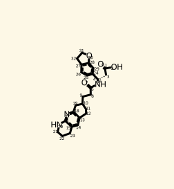 O=C(O)C[C@H](NC(=O)CCC1CCc2cc3c(nc2C1)NCCC3)c1ccc2c(c1)OCC2